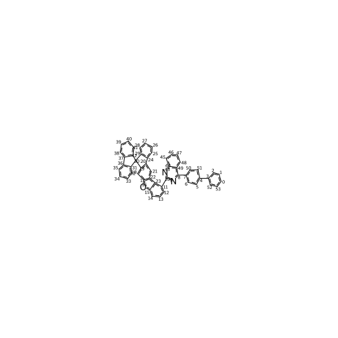 c1ccc(-c2ccc(-c3nc(-c4cccc5oc6cc7c(cc6c45)-c4ccccc4C74c5ccccc5-c5ccccc54)nc4ccccc34)cc2)cc1